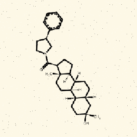 C[C@@]1(O)CC[C@H]2[C@H](CC[C@@H]3[C@@H]2CC[C@]2(C)[C@@H](C(=O)N4CC[C@@H](c5ccccc5)C4)CC[C@@H]32)C1